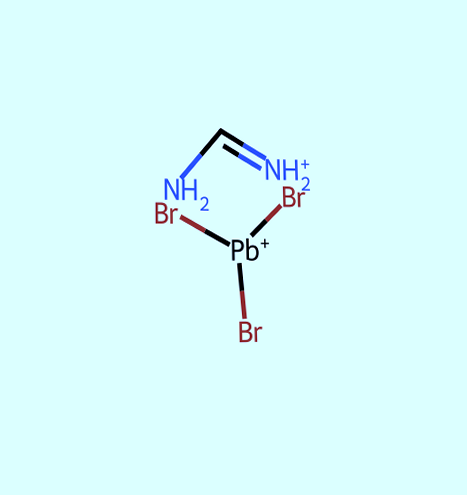 NC=[NH2+].[Br][Pb+]([Br])[Br]